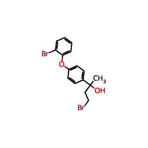 CC(O)(CCBr)c1ccc(Oc2ccccc2Br)cc1